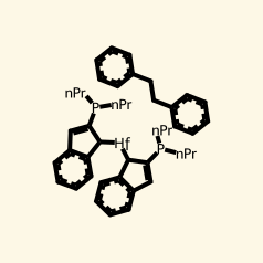 CCCP(CCC)C1=Cc2ccccc2[CH]1[Hf][CH]1C(P(CCC)CCC)=Cc2ccccc21.c1ccc(CCc2ccccc2)cc1